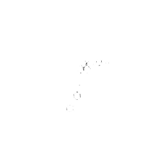 COC(=O)C1(C)OCC(CCCOc2ccc(Cc3ccccc3)cc2)CO1